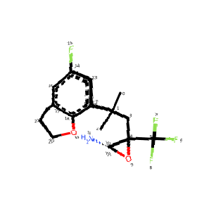 CC(C)(CC1(C(F)(F)F)O[C@@H]1N)c1cc(F)cc2c1OCC2